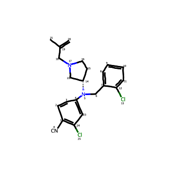 [C-]#[N+]c1ccc(N(Cc2ccccc2Cl)[C@H]2CCN(CC(=C)C)C2)cc1Cl